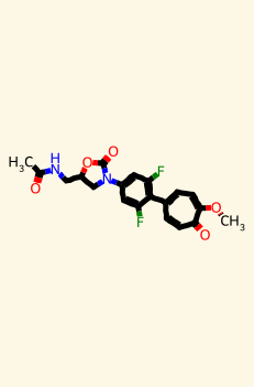 COc1ccc(-c2c(F)cc(N3CC(CNC(C)=O)OC3=O)cc2F)ccc1=O